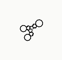 c1cc2c(c3c1CCCCCCC3)c1c3c(cc4c5cc6c(cc5n2c41)CCCCCCCC6)CCCCCCC3